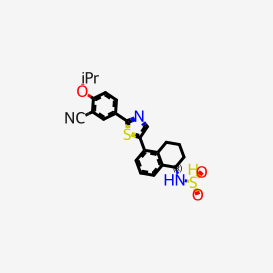 CC(C)Oc1ccc(-c2ncc(-c3cccc4c3CCC[C@H]4N[SH](=O)=O)s2)cc1C#N